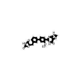 CCOc1cc(-c2cccc(CC3OC(=O)NC3=O)c2)ccc1-c1nc2[nH]cnc2c(=O)[nH]1